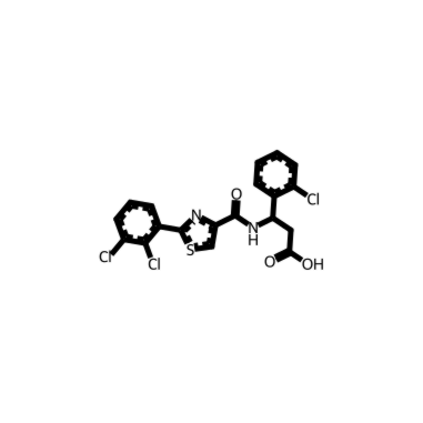 O=C(O)CC(NC(=O)c1csc(-c2cccc(Cl)c2Cl)n1)c1ccccc1Cl